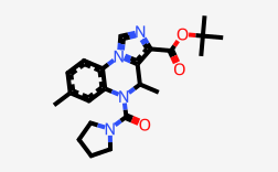 Cc1ccc2c(c1)N(C(=O)N1CCCC1)C(C)c1c(C(=O)OC(C)(C)C)ncn1-2